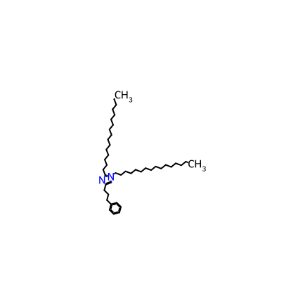 CCCCCCCCCCCCCCCCc1nc(CCCc2ccccc2)cn1CCCCCCCCCCCCCCCC